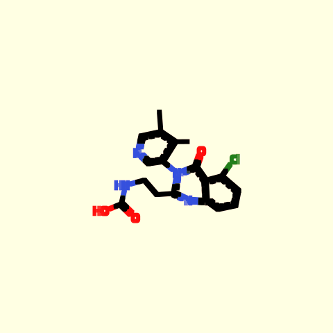 Cc1cncc(-n2c(CCNC(=O)O)nc3cccc(Cl)c3c2=O)c1C